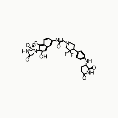 O=C1CCC(Nc2ccc(C3CCN(CC(=O)Nc4ccc5c(F)c(N6CC(=O)NS6(=O)=O)c(O)cc5c4)CC3(F)F)cc2)C(=O)N1